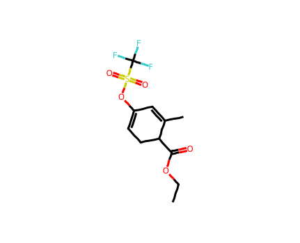 CCOC(=O)C1CC=C(OS(=O)(=O)C(F)(F)F)C=C1C